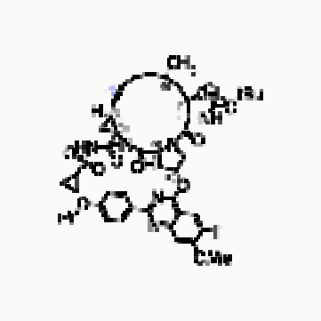 COc1cc2nc(-c3ccc(OC(C)C)cc3)nc(O[C@@H]3C[C@H]4C(=O)N[C@]5(C(=O)NS(=O)(=O)C6CC6)C[C@H]5/C=C\CC[C@H](C)C[C@@H](C)[C@H](NC(=O)OC(C)(C)C)C(=O)N4C3)c2cc1F